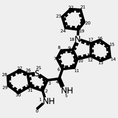 CNc1c(C(=N)c2ccc3c(c2)c2ccccc2n3-c2ccccc2)sc2ccccc12